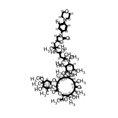 CC[C@H]1OC(=O)[C@H](C)[C@@H](O[C@H]2C[C@@](C)(OC)[C@@H](O)[C@H](C)O2)[C@H](C)[C@@H](O[C@@H]2O[C@H](C)C[C@H](N(C)C(C)(C)CC(=O)NC(C)(C)C[C@H]3CN(c4ccc(N5CCOCC5)c(F)c4)C(=O)O3)[C@H]2O)[C@](C)(O)C[C@@H](C)C(=O)[C@H](C)[C@@H](O)[C@]1(C)O